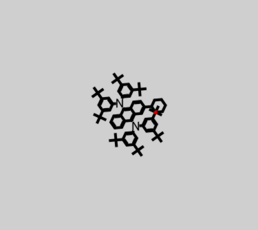 CC(C)(C)c1cc(N(c2cc(C(C)(C)C)cc(C(C)(C)C)c2)c2c3ccccc3c(N(c3cc(C(C)(C)C)cc(C(C)(C)C)c3)c3cc(C(C)(C)C)cc(C(C)(C)C)c3)c3cc(C4CCCCC4)ccc23)cc(C(C)(C)C)c1